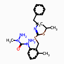 Cc1cccc(N(N)C(=O)N(C)N)c1CSC(=NCCc1ccccc1)SC(C)C